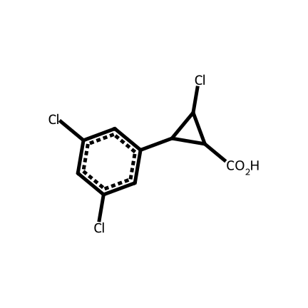 O=C(O)C1C(Cl)C1c1cc(Cl)cc(Cl)c1